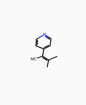 CC(C)=C(C#N)c1ccncc1